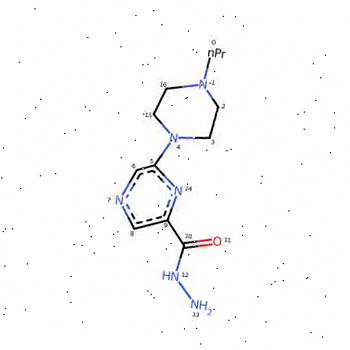 CCCN1CCN(c2cncc(C(=O)NN)n2)CC1